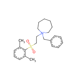 Cc1cccc(C)c1S(=O)(=O)CC[N+]1(Cc2ccccc2)CCCCCC1